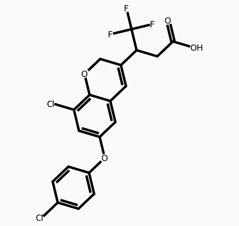 O=C(O)CC(C1=Cc2cc(Oc3ccc(Cl)cc3)cc(Cl)c2OC1)C(F)(F)F